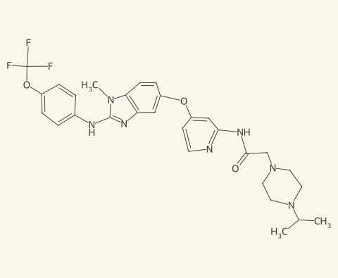 CC(C)N1CCN(CC(=O)Nc2cc(Oc3ccc4c(c3)nc(Nc3ccc(OC(F)(F)F)cc3)n4C)ccn2)CC1